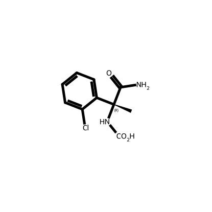 C[C@](NC(=O)O)(C(N)=O)c1ccccc1Cl